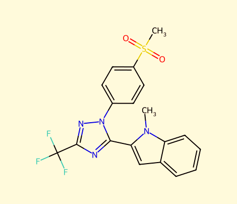 Cn1c(-c2nc(C(F)(F)F)nn2-c2ccc(S(C)(=O)=O)cc2)cc2ccccc21